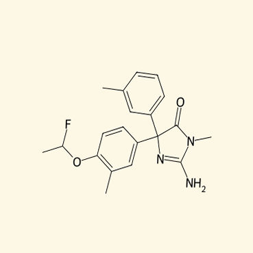 Cc1cccc(C2(c3ccc(OC(C)F)c(C)c3)N=C(N)N(C)C2=O)c1